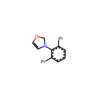 CC(C)c1cccc(C(C)C)c1N1C=COC1